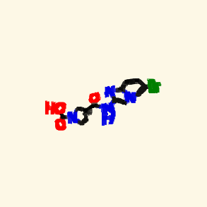 O=C(Nc1cn2cc(Br)ccc2n1)[C@H]1CCN(C(=O)O)C1